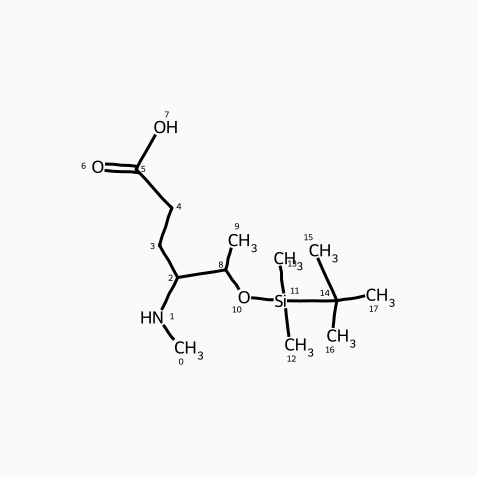 CNC(CCC(=O)O)C(C)O[Si](C)(C)C(C)(C)C